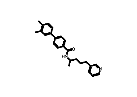 Cc1ccc(-c2ccc(C(=O)NC(C)CCCc3cccnc3)cc2)cc1C